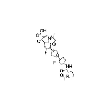 CC(=O)N1CCCC1C(=O)Nc1ccc(N2CCN(c3c(F)cc4c(=O)c(C(=O)O)cn5c4c3OCN5C)CC2)c(F)c1